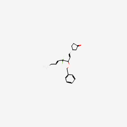 CC/C=C/C(F)(F)C(/C=C/[C@H]1CCC(=O)C1)OCc1ccccc1